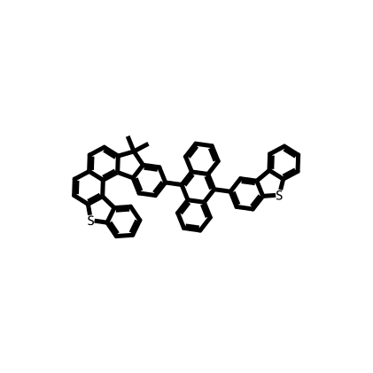 CC1(C)c2cc(-c3c4ccccc4c(-c4ccc5sc6ccccc6c5c4)c4ccccc34)ccc2-c2c1ccc1ccc3sc4ccccc4c3c21